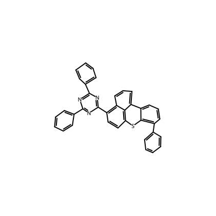 c1ccc(-c2nc(-c3ccccc3)nc(-c3ccc4c5c(cccc35)-c3cccc(-c5ccccc5)c3S4)n2)cc1